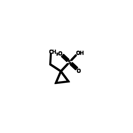 CCC1(S(=O)(=O)O)CC1